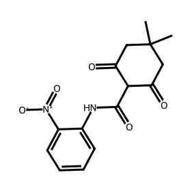 CC1(C)CC(=O)C(C(=O)Nc2ccccc2[N+](=O)[O-])C(=O)C1